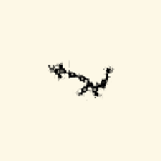 COc1cc(S(=O)(=O)CCOS(=O)(=O)O)ccc1N=Nc1cc(S(=O)(=O)O)c(N)cc1Nc1nc(Nc2ccc(N=Nc3ccc(N=Nc4cc(S(=O)(=O)O)c5cc(OOOS)cc(S(=O)(=O)O)c5c4)c(C)c3)cc2)nc(-[n+]2ccc(C(=O)O)cc2)n1